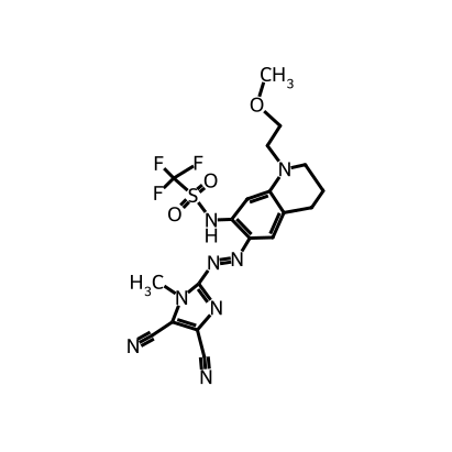 COCCN1CCCc2cc(N=Nc3nc(C#N)c(C#N)n3C)c(NS(=O)(=O)C(F)(F)F)cc21